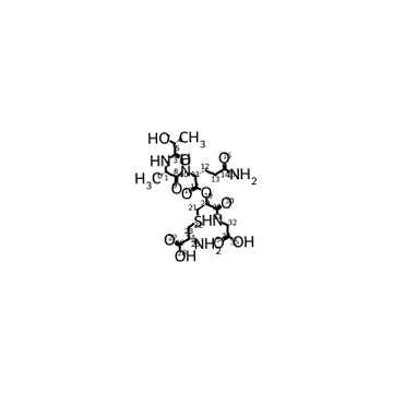 C[C@H](NC(=O)[C@@H](C)O)C(=O)N[C@H](CCC(N)=O)C(=O)O[C@H](CSC[C@H](N)C(=O)O)C(=O)NCC(=O)O